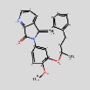 C=C1c2cccnc2C(=O)N1c1ccc(OC)c(OC(C)CCc2ccccc2)c1